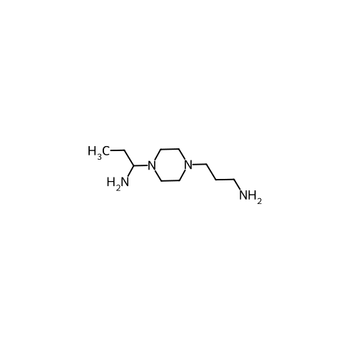 CCC(N)N1CCN(CCCN)CC1